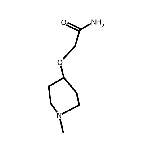 CN1CCC(OCC(N)=O)CC1